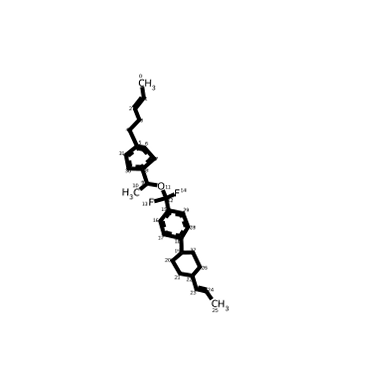 C/C=C/CCc1ccc(C(C)OC(F)(F)c2ccc(C3CCC(/C=C/C)CC3)cc2)cc1